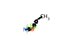 CCC=CC[C@H]1CC[C@H](c2cc(F)c(C(F)(F)Oc3cc(F)c(C#N)c(F)c3)c(F)c2)CC1